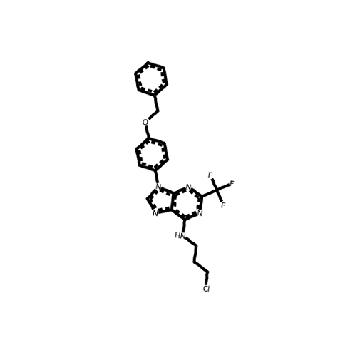 FC(F)(F)c1nc(NCCCCl)c2ncn(-c3ccc(OCc4ccccc4)cc3)c2n1